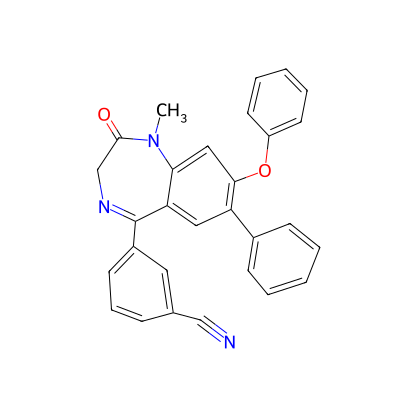 CN1C(=O)CN=C(c2cccc(C#N)c2)c2cc(-c3ccccc3)c(Oc3ccccc3)cc21